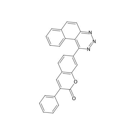 O=c1oc2cc(-c3nnnc4ccc5ccccc5c34)ccc2cc1-c1ccccc1